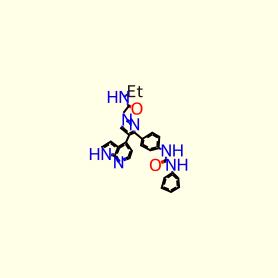 CCNC(=O)Cn1cc(-c2ccnc3[nH]ccc23)c(-c2ccc(NC(=O)Nc3ccccc3)cc2)n1